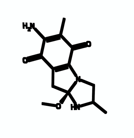 CO[C@@]12CC3=C(C(=O)C(C)=C(N)C3=O)N1CC(C)N2